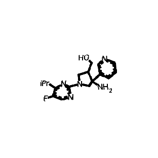 CC(C)c1nc(N2CC(CO)C(N)(c3cccnc3)C2)ncc1F